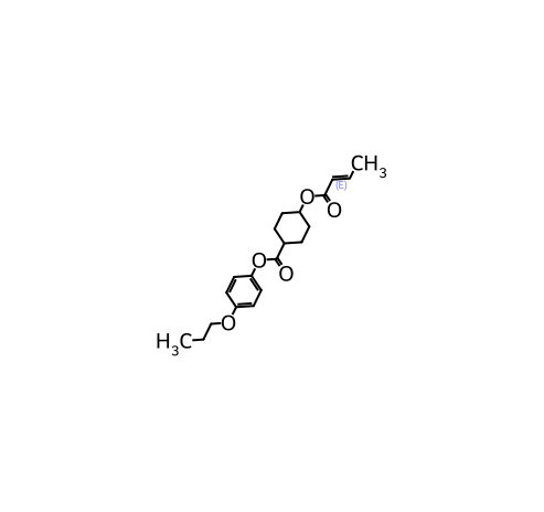 C/C=C/C(=O)OC1CCC(C(=O)Oc2ccc(OCCC)cc2)CC1